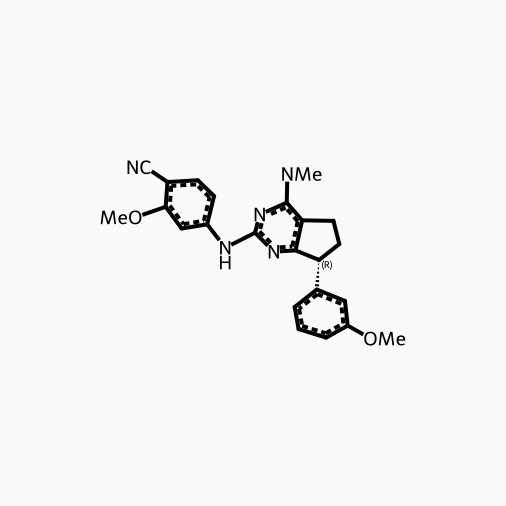 CNc1nc(Nc2ccc(C#N)c(OC)c2)nc2c1CC[C@@H]2c1cccc(OC)c1